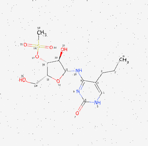 CCCc1c[nH]c(=O)nc1N[C@@H]1O[C@H](CO)[C@H](OS(C)(=O)=O)[C@H]1O